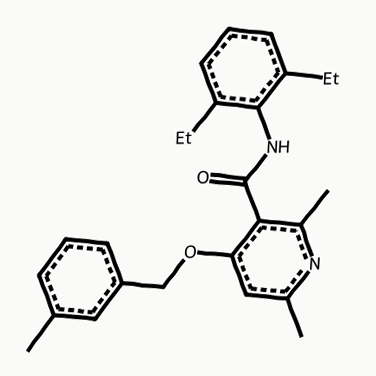 CCc1cccc(CC)c1NC(=O)c1c(OCc2cccc(C)c2)cc(C)nc1C